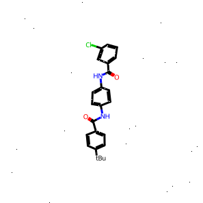 CC(C)(C)c1ccc(C(=O)Nc2ccc(NC(=O)c3cccc(Cl)c3)cc2)cc1